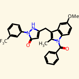 COc1ccc2c(c1)c(Cc1cc(=O)n(-c3cccc(C(F)(F)F)c3)[nH]1)c(C)n2C(=O)c1ccccc1